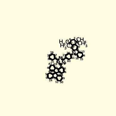 CC1(C)CCC(C)(C)C2=C1C=C1c3ccccc3N(c3ccc(-c4nc(-c5ccccc5)nc(-c5cccc6c5-c5ccccc5C65c6ccccc6-c6ccccc65)n4)cc3)C1C2